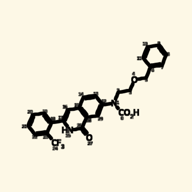 O=C(O)N(CCOCc1ccccc1)c1ccc2cc(-c3ccccc3C(F)(F)F)[nH]c(=O)c2c1